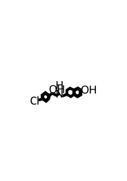 Oc1ccc2c(c1)CCC(CNCC(O)c1ccc(Cl)cc1)C2